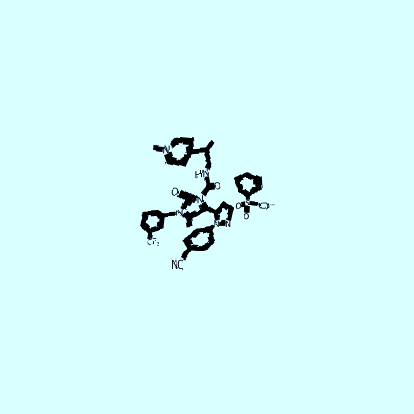 Cc1c(-c2ccnn2-c2ccc(C#N)cc2)n(C(=O)NCC(C)c2cc[n+](C)cc2)c(=O)n1-c1cccc(C(F)(F)F)c1.O=S(=O)([O-])c1ccccc1